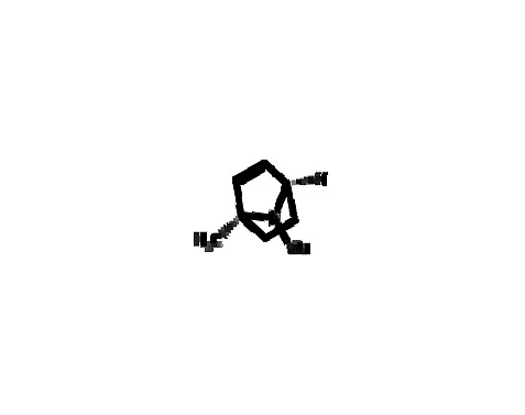 CC(C)(C)N1[C@H]2C=C[C@]1(C)CC2